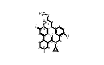 COCCCc1ccc(Cl)c(CN(C(=O)C2CNCCC2c2ccn(C)c(=O)c2)C2CC2)c1